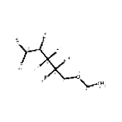 CCOCC(F)(F)C(F)(F)C(F)C(F)F